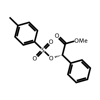 COC(=O)[C@@H](OS(=O)(=O)c1ccc(C)cc1)c1ccccc1